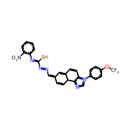 O=[N+]([O-])c1ccccc1N=C(S)N=NC=C1C=CC2C(=C1)C=Cc1c2ncn1-c1ccc(OC(F)(F)F)cc1